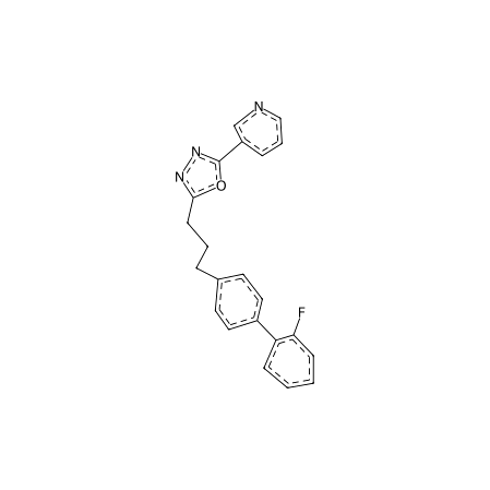 Fc1ccccc1-c1ccc(CCCc2nnc(-c3cccnc3)o2)cc1